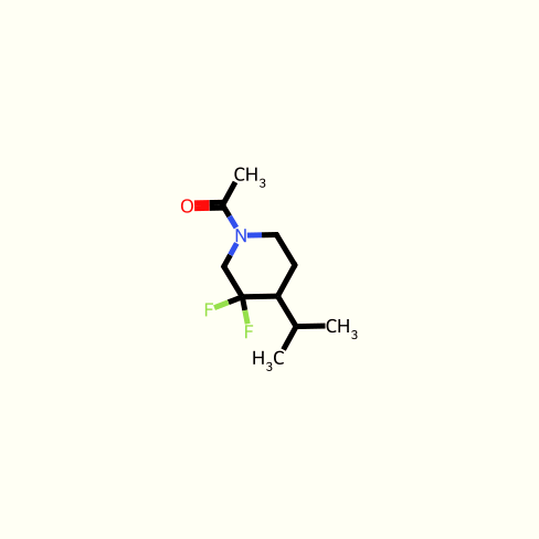 CC(=O)N1CCC(C(C)C)C(F)(F)C1